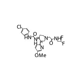 COc1ccc([C@@H]2CN(CC(=O)NCC(F)F)CC[C@H]2NC(=O)Nc2ccc(Cl)cc2)nc1